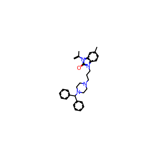 C=C(C)n1c(=O)n(CCCN2CCN(C(c3ccccc3)c3ccccc3)CC2)c2ccc(C)cc21